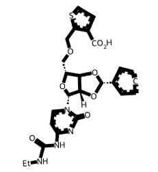 CCNC(=O)Nc1ccn([C@@H]2O[C@H](COCc3sccc3C(=O)O)C3O[C@H](c4ccccc4)O[C@@H]32)c(=O)n1